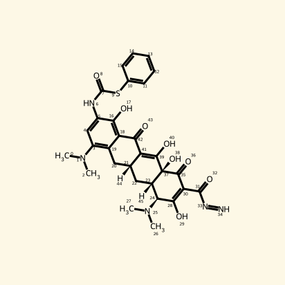 CN(C)c1cc(NC(=O)Sc2ccccc2)c(O)c2c1C[C@H]1C[C@H]3[C@H](N(C)C)C(O)=C(C(=O)N=N)C(=O)[C@@]3(O)C(O)=C1C2=O